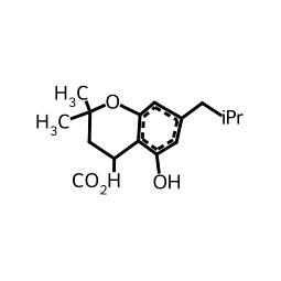 CC(C)Cc1cc(O)c2c(c1)OC(C)(C)CC2C(=O)O